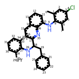 Cc1cc(Cl)cc(C)c1Nc1cccc2ccc(C(Cc3ccccc3)Nc3c(C(C)C)cccc3C(C)C)nc12